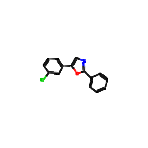 Clc1cccc(-c2cnc(-c3ccccc3)o2)c1